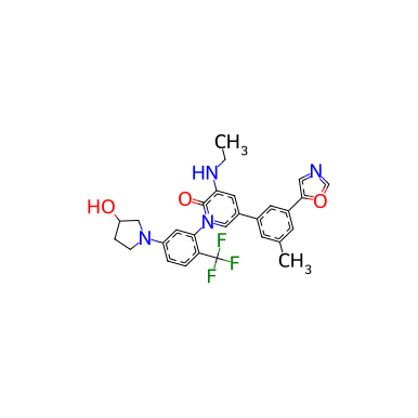 CCNc1cc(-c2cc(C)cc(-c3cnco3)c2)cn(-c2cc(N3CCC(O)C3)ccc2C(F)(F)F)c1=O